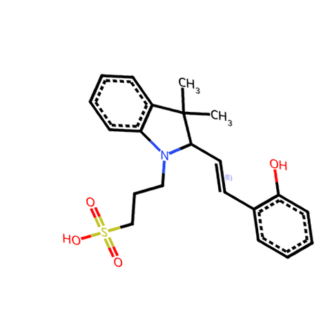 CC1(C)c2ccccc2N(CCCS(=O)(=O)O)C1/C=C/c1ccccc1O